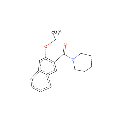 O=C(O)COc1cc2ccccc2cc1C(=O)N1CCCCC1